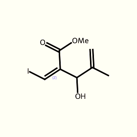 C=C(C)C(O)/C(=C/I)C(=O)OC